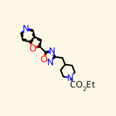 CCOC(=O)N1CCC(Cc2noc(-c3cc4cnccc4o3)n2)CC1